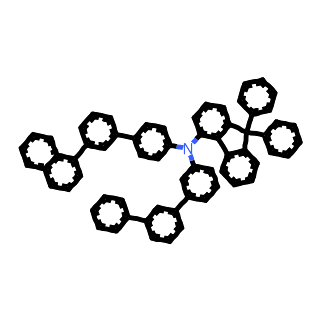 c1ccc(-c2cccc(-c3cccc(N(c4ccc(-c5cccc(-c6cccc7ccccc67)c5)cc4)c4cccc5c4-c4ccccc4C5(c4ccccc4)c4ccccc4)c3)c2)cc1